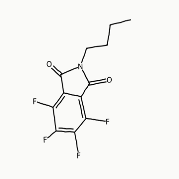 CCCCN1C(=O)c2c(F)c(F)c(F)c(F)c2C1=O